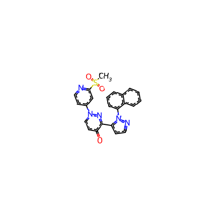 CS(=O)(=O)c1cc(-n2ccc(=O)c(-c3ccnn3-c3cccc4ccccc34)n2)ccn1